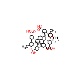 Cc1ccc(C)c(-c2ccc(C(=O)O)cc2-c2cc(-c3cc(C(=O)O)ccc3-c3cc(C)ccc3C)c3ccc4c(-c5cc(C(=O)O)ccc5-c5cc(C)ccc5C)cc(-c5cc(C(=O)O)ccc5-c5cc(C)ccc5C)c5ccc2c3c54)c1